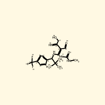 CNC(=O)N/C(NC(c1ccc(C(F)(F)F)cc1)C(C)(C)C)=C(\C=O)C(=N)CO